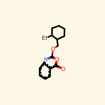 CCC1CCCCC1COc1nc2ccccc2c(=O)o1